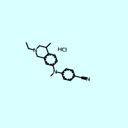 CCN1Cc2cc(N(C)c3ccc(C#N)cc3)ccc2C(C)C1.Cl